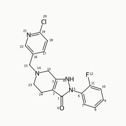 O=c1c2c([nH]n1-c1ccccc1F)CN(Cc1ccc(Cl)nc1)CC2